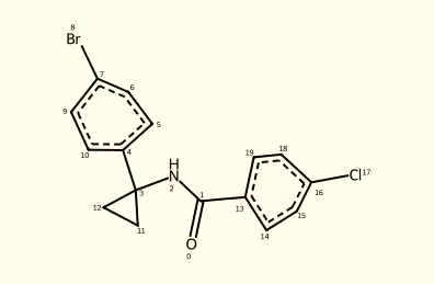 O=C(NC1(c2ccc(Br)cc2)CC1)c1ccc(Cl)cc1